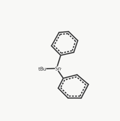 C[C](C)(C)[Sn]([c]1ccccc1)[c]1ccccc1